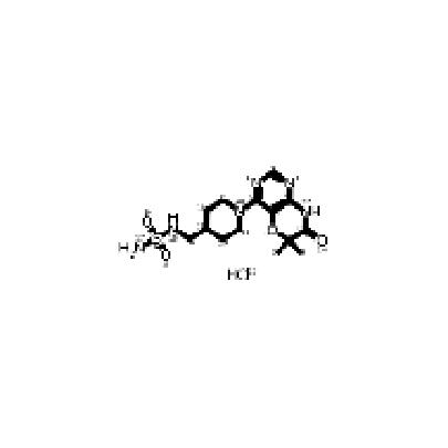 CC1(C)Oc2c(ncnc2N2CCC(CNS(N)(=O)=O)CC2)NC1=O.Cl